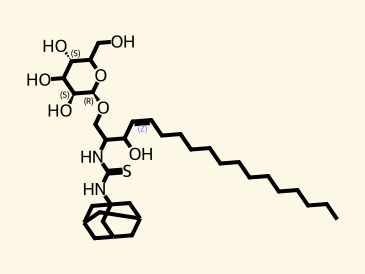 CCCCCCCCCCCCC/C=C\C(O)C(CO[C@@H]1OC(CO)[C@@H](O)C(O)[C@@H]1O)NC(=S)NC12CC3CC(CC(C3)C1)C2